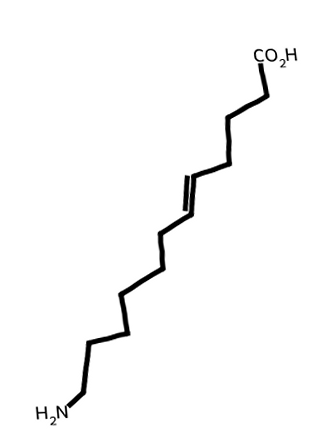 NCCCCCCC=CCCCC(=O)O